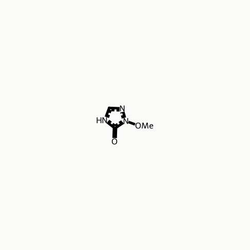 COn1nc[nH]c1=O